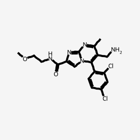 COCCNC(=O)c1cn2c(-c3ccc(Cl)cc3Cl)c(CN)c(C)nc2n1